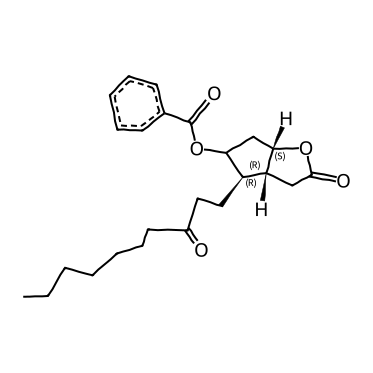 CCCCCCCC(=O)CC[C@H]1C(OC(=O)c2ccccc2)C[C@@H]2OC(=O)C[C@@H]21